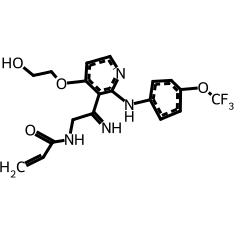 C=CC(=O)NCC(=N)c1c(OCCO)ccnc1Nc1ccc(OC(F)(F)F)cc1